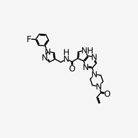 C=CC(=O)N1CCN(c2cnc3[nH]cc(C(=O)NCc4cnn(-c5cccc(F)c5)c4)c3n2)CC1